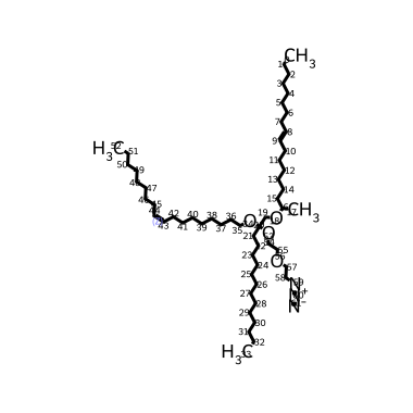 CCCCCCCCC=CCCCCCCC(C)OCC(CCCCCCCCCCCCC)(OCCCCCCCC/C=C\CCCCCCCC)OCCOCCN=[N+]=[N-]